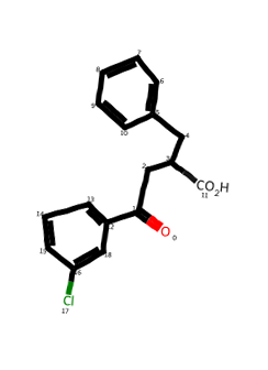 O=C(CC(Cc1ccccc1)C(=O)O)c1cccc(Cl)c1